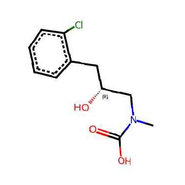 CN(C[C@H](O)Cc1ccccc1Cl)C(=O)O